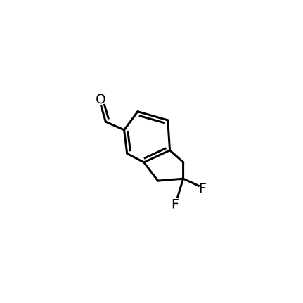 O=Cc1ccc2c(c1)CC(F)(F)C2